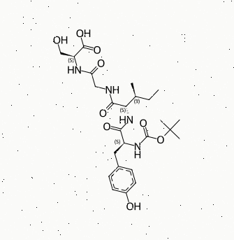 CC[C@H](C)[C@H](NC(=O)[C@H](Cc1ccc(O)cc1)NC(=O)OC(C)(C)C)C(=O)NCC(=O)N[C@@H](CO)C(=O)O